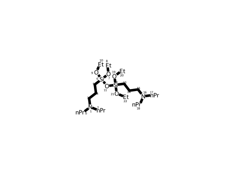 CCCN(CCC)CCC[Si](OCC)(OCC)O[Si](CCCN(CCC)CCC)(OCC)OCC